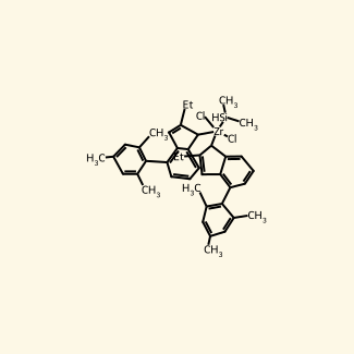 CCC1=Cc2c(-c3c(C)cc(C)cc3C)cccc2[CH]1[Zr]([Cl])([Cl])([CH]1C(CC)=Cc2c(-c3c(C)cc(C)cc3C)cccc21)[SiH](C)C